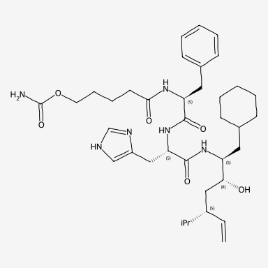 C=C[C@@H](C[C@@H](O)[C@H](CC1CCCCC1)NC(=O)[C@H](Cc1c[nH]cn1)NC(=O)[C@H](Cc1ccccc1)NC(=O)CCCCOC(N)=O)C(C)C